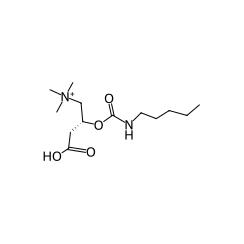 CCCCCNC(=O)O[C@H](CC(=O)O)C[N+](C)(C)C